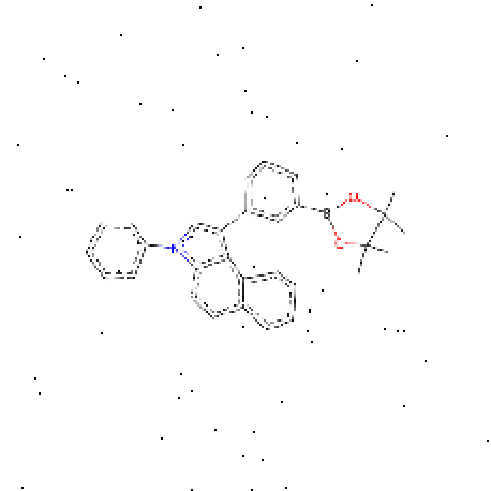 CC1(C)OB(c2cccc(-c3cn(-c4ccccc4)c4ccc5ccccc5c34)c2)OC1(C)C